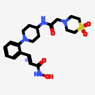 O=C(/C=C/c1ccccc1N1CCC(NC(=O)CN2CCS(=O)(=O)CC2)CC1)NO